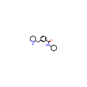 O=C(NC1CCCCC1)c1cccc([CH][C@@H]2CCCCN2)c1